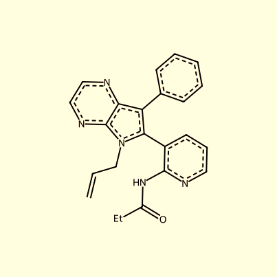 C=CCn1c(-c2cccnc2NC(=O)CC)c(-c2ccccc2)c2nccnc21